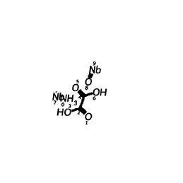 N.O=C(O)C(=O)O.[Nb].[O]=[Nb]